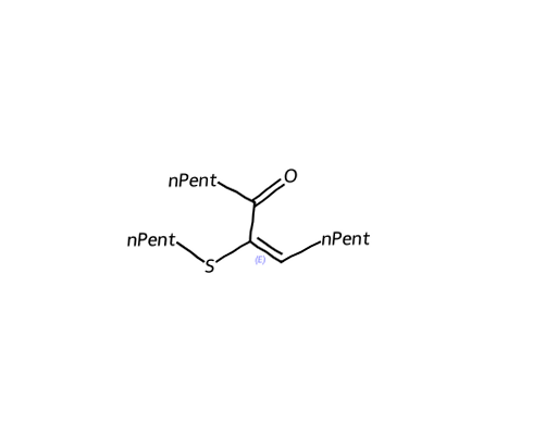 CCCCC/C=C(/SCCCCC)C(=O)CCCCC